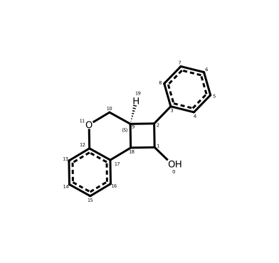 OC1C(c2ccccc2)[C@@H]2COc3ccccc3C12